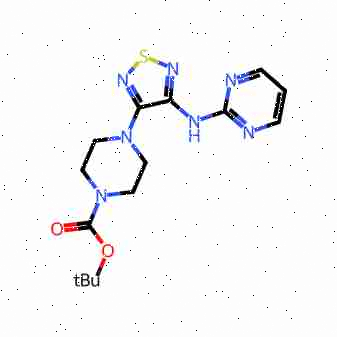 CC(C)(C)OC(=O)N1CCN(c2nsnc2Nc2ncccn2)CC1